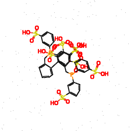 O=S(=O)(O)c1cccc(P(Cc2ccccc2-c2c(CP(c3cccc(S(=O)(=O)O)c3)c3cccc(S(=O)(=O)O)c3)c(S(=O)(=O)O)c(S(=O)(=O)O)c(S(=O)(=O)O)c2S(=O)(=O)O)c2cccc(S(=O)(=O)O)c2)c1